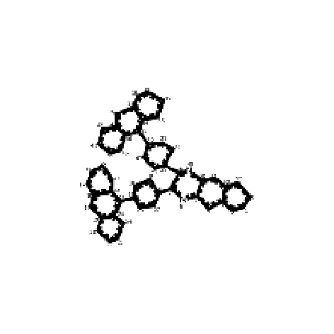 c1ccc2cc3nc(-c4ccc(-c5c6ccccc6cc6ccccc56)cc4)c(-c4ccc(-c5c6ccccc6cc6ccccc56)cc4)nc3cc2c1